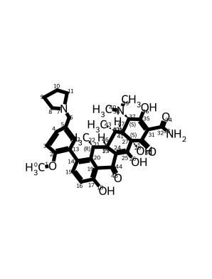 COc1ccc(CN2CCCC2)cc1-c1ccc(O)c2c1[C@H](C)[C@@H]1C(=C(O)[C@]3(O)C(=O)C(C(N)=O)=C(O)[C@@H](N(C)C)[C@@H]3[C@H]1C)C2=O